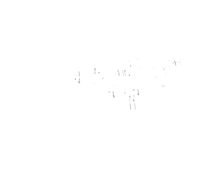 Oc1cc(F)cc(-c2cccc3[nH]c(-c4n[nH]c5cnc(-c6cncc(CNCC7CCCC7)c6)cc45)cc23)c1